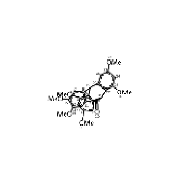 COc1cc(OC)c2c(c1)C1C(=O)c3cc(OC)c(OC)cc3C2c2cc(OC)cc(OC)c21